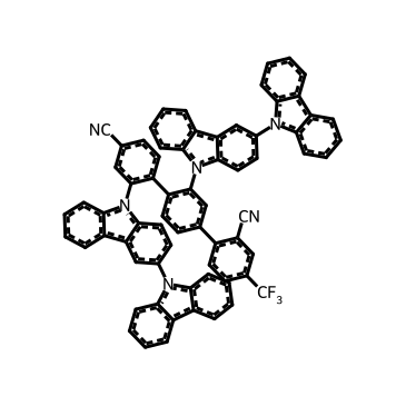 N#Cc1ccc(-c2ccc(-c3ccc(C(F)(F)F)cc3C#N)cc2-n2c3ccccc3c3cc(-n4c5ccccc5c5ccccc54)ccc32)c(-n2c3ccccc3c3cc(-n4c5ccccc5c5ccccc54)ccc32)c1